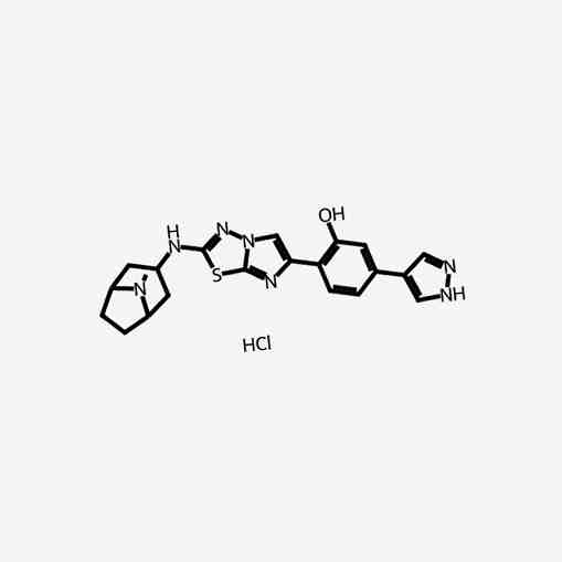 CN1C2CCC1CC(Nc1nn3cc(-c4ccc(-c5cn[nH]c5)cc4O)nc3s1)C2.Cl